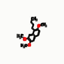 CCCCc1c(OC)ccc2cc(OC)c(OC)cc12